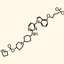 CS(=O)(=O)CCCOc1cccc2c1ccn2-c1ccnc(NC2CCC(N3CCC(OC(=O)[C@@H]4CCCN4)CC3)CC2)n1